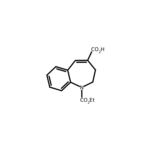 CCOC(=O)N1CCC(C(=O)O)=Cc2ccccc21